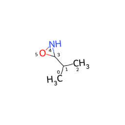 CC(C)C1NO1